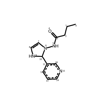 CCCC(=O)NN1C=CNC1c1cccnc1